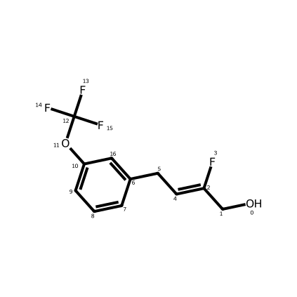 OCC(F)=CCc1cccc(OC(F)(F)F)c1